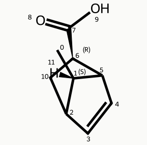 C[C@H]1C2C=CC1[C@H](C(=O)O)C2